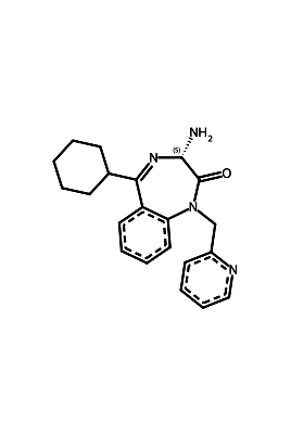 N[C@H]1N=C(C2CCCCC2)c2ccccc2N(Cc2ccccn2)C1=O